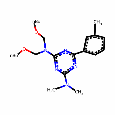 CCCCOCN(COCCCC)c1nc(-c2cccc(C)c2)nc(N(C)C)n1